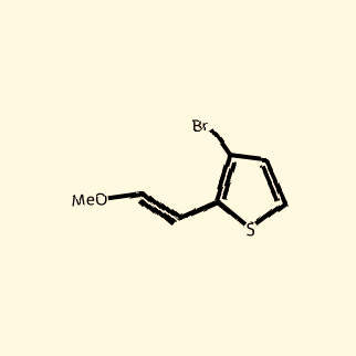 COC=Cc1sccc1Br